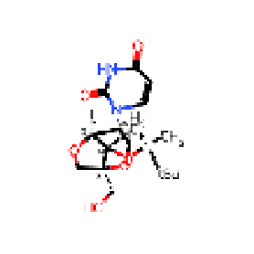 CC(C)(C)[Si](C)(C)O[C@H]1[C@H]2OC[C@]1(CO)OC[C@H]2n1ccc(=O)[nH]c1=O